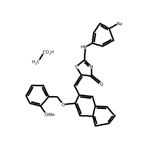 CC(=O)O.COc1ccccc1COc1cc2ccccc2cc1C=C1SC(Nc2cc[c]([Na])cc2)=NC1=O